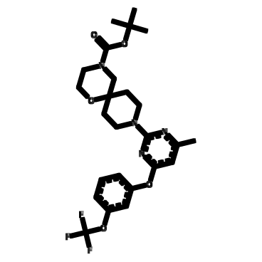 Cc1cc(Oc2cccc(OC(F)(F)F)c2)nc(N2CCC3(CC2)CN(C(=O)OC(C)(C)C)CCO3)n1